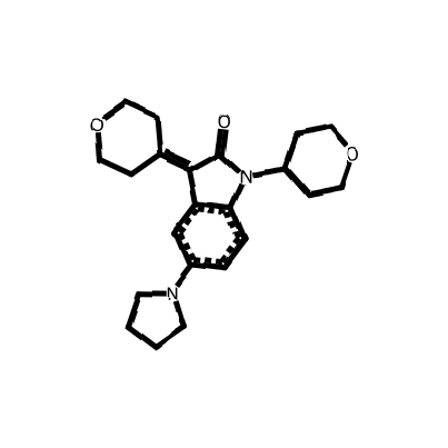 O=C1C(=C2CCOCC2)c2cc(N3CCCC3)ccc2N1C1CCOCC1